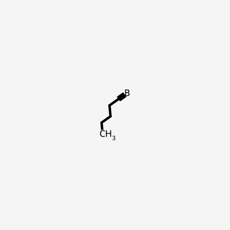 B#CCCCC